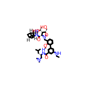 CCNc1cc(C(=O)N[C@@H](CC(C)C)CN(C)C)cc(-c2cccc(CN3O[C@@H](CO)[C@@H]([C@H](C)O)[C@H]3C(=O)N[C@H]3C[C@H]4C[C@@H]([C@@H]3C)C4(C)C)c2OC)c1